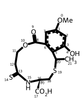 COc1cc(O)c2c(c1)C(=O)OCCC(=S)N[C@H](C(=O)O)CSC2C